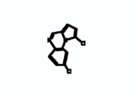 Clc1ccc2ncc3ccc(Cl)n3c2c1